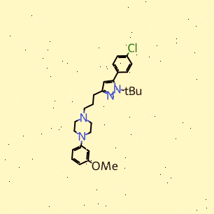 COc1cccc(N2CCN(CCCc3cc(-c4ccc(Cl)cc4)n(C(C)(C)C)n3)CC2)c1